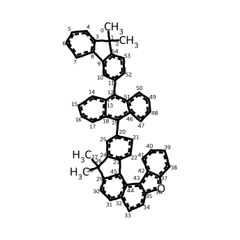 CC1(C)c2ccccc2-c2cc(-c3c4ccccc4c(-c4ccc5c(c4)C(C)(C)c4ccc6ccc7oc8ccccc8c7c6c4-5)c4ccccc34)ccc21